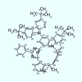 CC(C)(C)c1ccc2c(c1)c1cc(C(C)(C)C)ccc1n2-c1ccc2c(c1)-c1nc(-c3ccccc3)nc(n1)-c1ccccc1C(C)(C)c1ccc3c(c1)c1cc(C(C)(C)C)ccc1n3-2